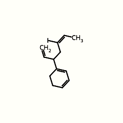 C=CC(C/C(I)=C\C)C1=CC=CCC1